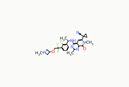 Cc1nc(N[C@H](C)c2cccc(C(F)(F)COC3CN(C)C3)c2F)c2cc(C3(C#N)CC3)n(C)c(=O)c2n1